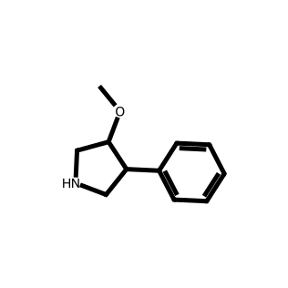 COC1CNCC1c1ccccc1